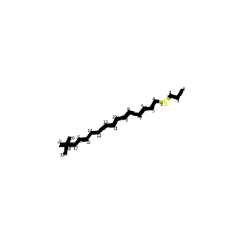 CCCSCCCCCCCCCCCCCCC(C)(C)C